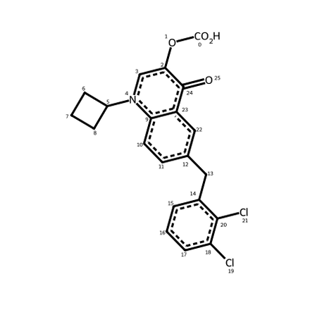 O=C(O)Oc1cn(C2CCC2)c2ccc(Cc3cccc(Cl)c3Cl)cc2c1=O